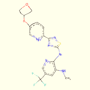 CNc1cc(C(F)(F)F)cnc1Nc1nc(-c2ccc(OC3COC3)cn2)ns1